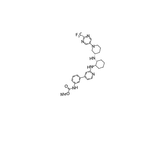 COC(=O)Nc1cccc(-c2ccnc(N[C@@H]3CCCC[C@H]3N[C@H]3CCCN(c4cnc(C(F)(F)F)nc4)C3)c2)c1